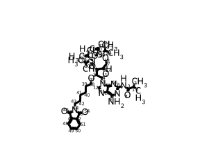 CC(C)C(=O)Nc1nc(N)c2ncn([C@@H]3O[C@@H]4CO[Si](C(C)C)(C(C)C)O[Si](C(C)C)(C(C)C)OC4[C@@H]3OCCCCCCN3C(=O)c4ccccc4C3=O)c2n1